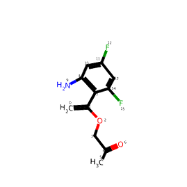 C=C(OCC(C)=O)c1c(N)cc(F)cc1F